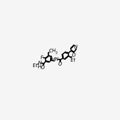 C=Cc1cc(CNC(=O)c2ccc3c(c2)C(CC)Oc2cnccc2-3)cc(C(=O)NCC)c1F